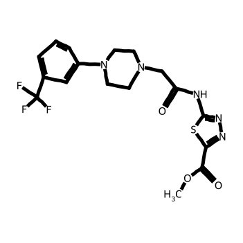 COC(=O)c1nnc(NC(=O)CN2CCN(c3cccc(C(F)(F)F)c3)CC2)s1